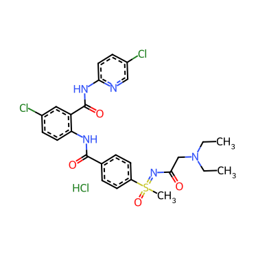 CCN(CC)CC(=O)N=S(C)(=O)c1ccc(C(=O)Nc2ccc(Cl)cc2C(=O)Nc2ccc(Cl)cn2)cc1.Cl